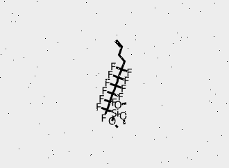 C=CCCC(F)(F)C(F)(F)C(F)(F)C(F)(F)C(F)(F)C(F)(F)[Si](OC)(OC)OC